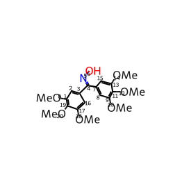 COc1cc(C(=NO)c2cc(OC)c(OC)c(OC)c2)cc(OC)c1OC